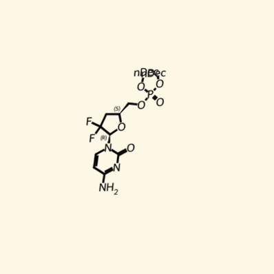 CCCCCCCCCCOP(=O)(OCCCCCCCCCC)OC[C@@H]1CC(F)(F)[C@H](n2ccc(N)nc2=O)O1